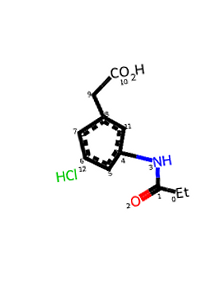 CCC(=O)Nc1cccc(CC(=O)O)c1.Cl